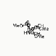 COCCCN1CCOc2ccc(CO[C@H]3CNC[C@@H](OC[C@@H](O)COC)[C@@H]3c3ccc(COC[C@@H](C)COC)cc3)cc21